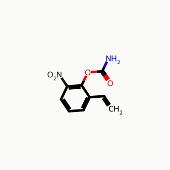 C=Cc1cccc([N+](=O)[O-])c1OC(N)=O